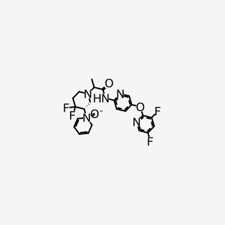 CC(C(=O)Nc1ccc(Oc2ncc(F)cc2F)cn1)N1CCC(F)(F)[C@@H]([N@@+]2([O-])C=CC=CC2)C1